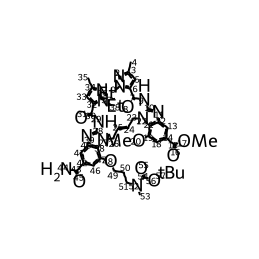 CCn1nc(C)cc1C(=O)Nc1nc2cc(C(=O)OC)cc(OC)c2n1C/C=C/Cn1c(NC(=O)c2cc(C)nn2CC)nc2cc(C(N)=O)cc(OCCCN(C)C(=O)OC(C)(C)C)c21